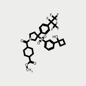 COC(=O)C1CCC(C(=O)N2CCC(c3ccc(C(F)(C(F)(F)F)C(F)(F)F)cc3)(S(=O)(=O)c3cccc(C4(O)CCC4)c3)C2)CC1